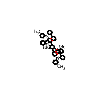 Cc1cccc(N(c2ccccc2-c2ccccc2)c2ccc3c4cc5c(cc4n4c6c(C(C)(C)C)cccc6c2c34)c2ccc(N(c3cccc(C)c3)c3ccccc3-c3ccccc3)c3c4cccc(C(C)(C)C)c4n5c23)c1